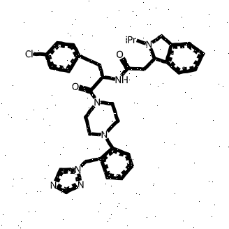 CC(C)N1Cc2ccccc2C1CC(=O)NC(Cc1ccc(Cl)cc1)C(=O)N1CCN(c2ccccc2Cn2cncn2)CC1